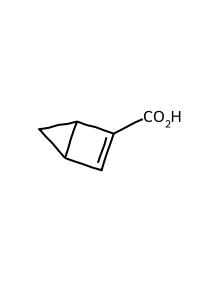 O=C(O)C1=CC2CC12